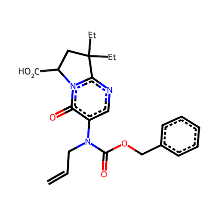 C=CCN(C(=O)OCc1ccccc1)c1cnc2n(c1=O)C(C(=O)O)CC2(CC)CC